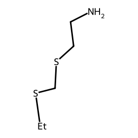 CCSCSCCN